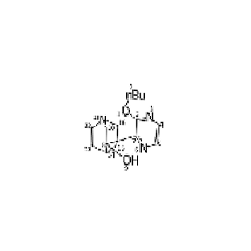 CCCCOc1nccnc1C1(O)CN2CCC1CC2